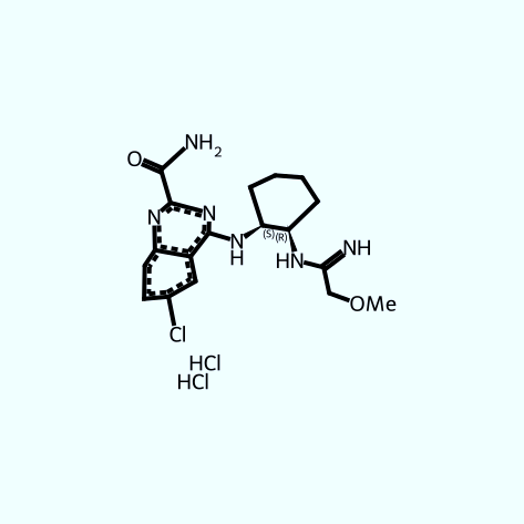 COCC(=N)N[C@@H]1CCCC[C@@H]1Nc1nc(C(N)=O)nc2ccc(Cl)cc12.Cl.Cl